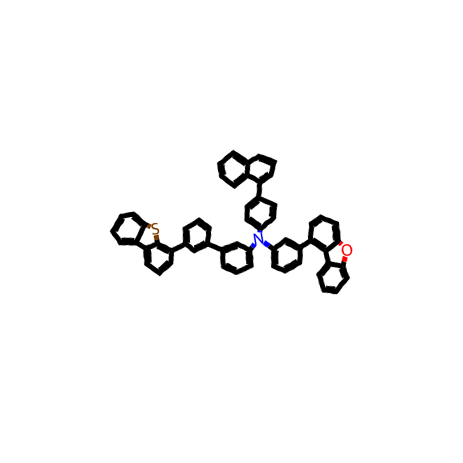 c1cc(-c2cccc(N(c3ccc(-c4cccc5ccccc45)cc3)c3cccc(-c4cccc5oc6ccccc6c45)c3)c2)cc(-c2cccc3c2sc2ccccc23)c1